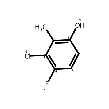 Cc1c(O)ccc(F)c1Cl